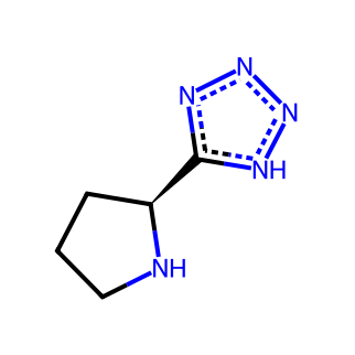 C1CN[C@H](c2nnn[nH]2)C1